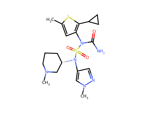 Cc1cc(N(C(N)=O)S(=O)(=O)N(c2cnn(C)c2)[C@H]2CCCN(C)C2)c(C2CC2)s1